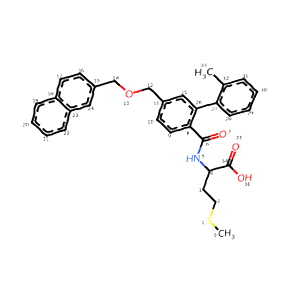 CSCCC(NC(=O)c1ccc(COCc2ccc3ccccc3c2)cc1-c1ccccc1C)C(=O)O